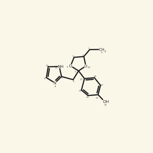 CCC1COC(Cc2ncc[nH]2)(c2ccc(O)cc2)O1